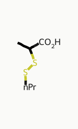 CCCSSC(C)C(=O)O